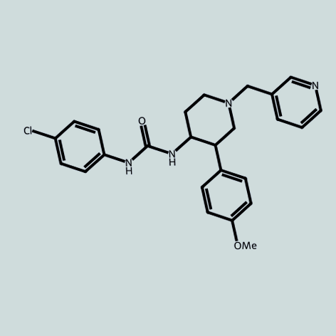 COc1ccc(C2CN(Cc3cccnc3)CCC2NC(=O)Nc2ccc(Cl)cc2)cc1